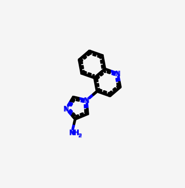 Nc1cn(-c2ccnc3ccccc23)cn1